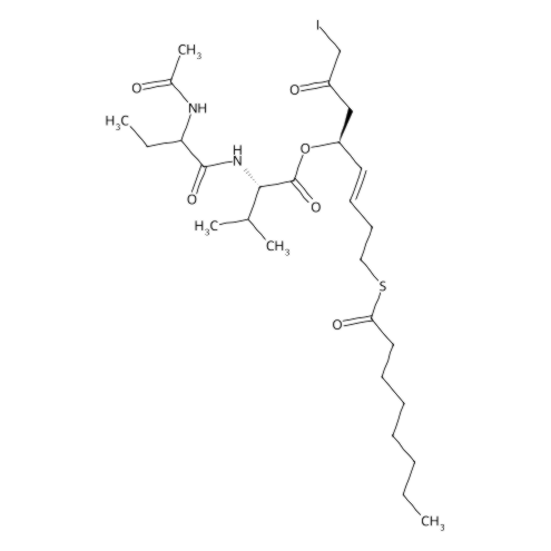 CCCCCCCC(=O)SCC/C=C/[C@H](CC(=O)CI)OC(=O)[C@@H](NC(=O)C(CC)NC(C)=O)C(C)C